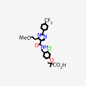 COCCc1nc(-c2ccc(C(F)(F)F)cc2)ncc1C(=O)NCc1ccc(OC(C)(C)C(=O)O)cc1Cl